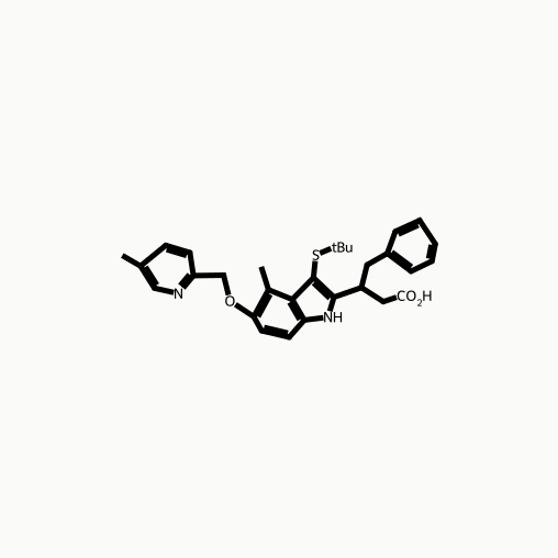 Cc1ccc(COc2ccc3[nH]c(C(CC(=O)O)Cc4ccccc4)c(SC(C)(C)C)c3c2C)nc1